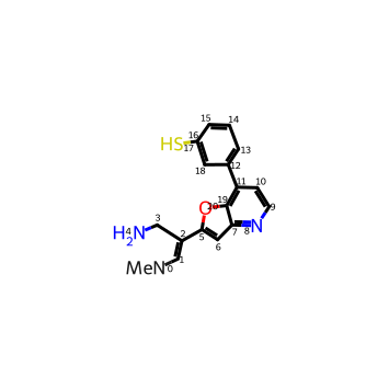 CN/C=C(\CN)c1cc2nccc(-c3cccc(S)c3)c2o1